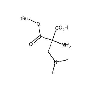 CN(C)CC(N)(C(=O)O)C(=O)OC(C)(C)C